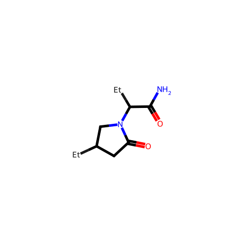 CCC1CC(=O)N(C(CC)C(N)=O)C1